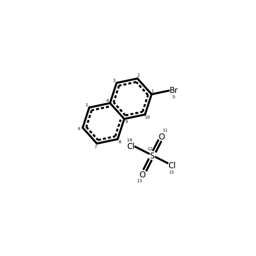 Brc1ccc2ccccc2c1.O=S(=O)(Cl)Cl